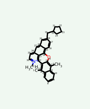 Cc1c2c(c(C)c3ccccc13)-c1c3c(c4ccc(CC5CCCC5)cc4cc3cc[n+]1C)O2